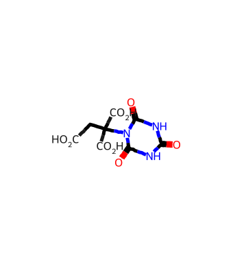 O=C(O)CC(C(=O)O)(C(=O)O)n1c(=O)[nH]c(=O)[nH]c1=O